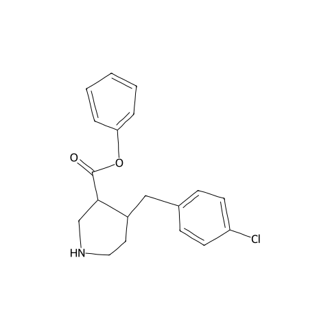 O=C(Oc1ccccc1)C1CNCCC1Cc1ccc(Cl)cc1